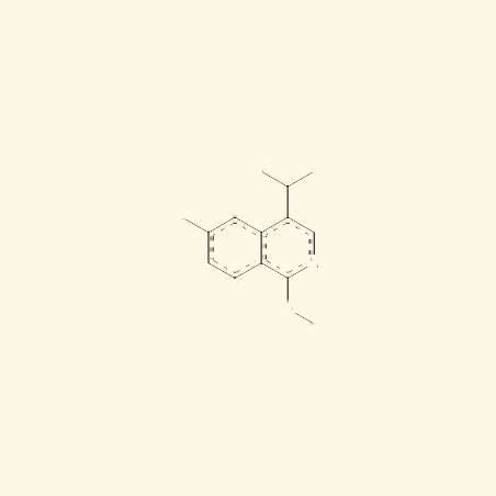 COc1ncc(C(C)C)c2cc(Cl)ccc12